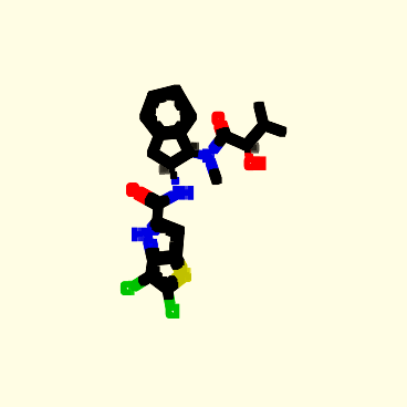 CC(C)[C@H](O)C(=O)N(C)[C@@H]1c2ccccc2C[C@H]1NC(=O)c1cc2sc(Cl)c(Cl)c2[nH]1